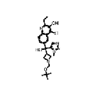 CCc1nc2ccc(C(O)(c3cnnn3C)C3CN(COC(C)(C)C)C3)cc2c(Cl)c1O